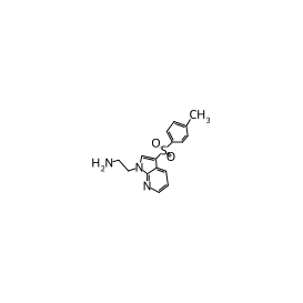 Cc1ccc(S(=O)(=O)c2cn(CCN)c3ncccc23)cc1